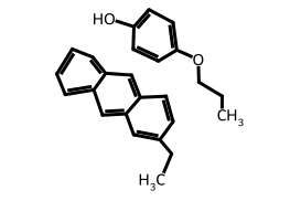 CCCOc1ccc(O)cc1.CCc1ccc2cc3ccccc3cc2c1